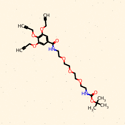 C#CCOc1cc(C(=O)NCCOCCOCCOCCNC(=O)OC(C)(C)C)cc(OCC#C)c1OCC#C